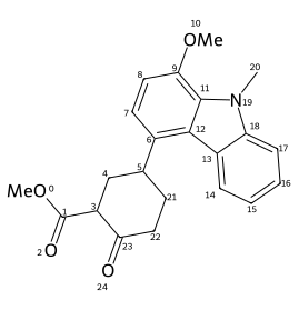 COC(=O)C1CC(c2ccc(OC)c3c2c2ccccc2n3C)CCC1=O